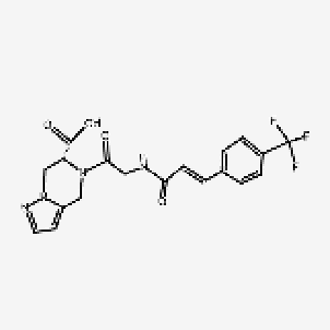 O=C(/C=C/c1ccc(C(F)(F)F)cc1)NCC(=O)N1Cc2ccnn2C[C@@H]1C(=O)O